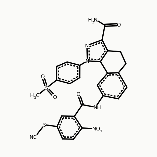 CS(=O)(=O)c1ccc(-n2nc(C(N)=O)c3c2-c2cc(NC(=O)c4cc(SC#N)ccc4[N+](=O)[O-])ccc2CC3)cc1